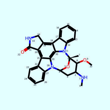 CNC1CC2O[C@@](C)(C1OC)n1c3ccccc3c3c4c(c5c6ccccc6n2c5c31)C(=O)NC4